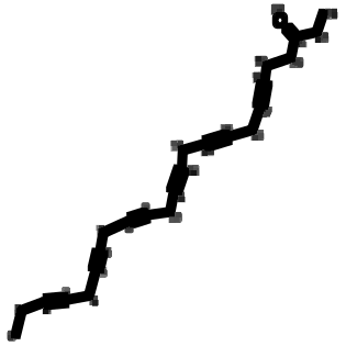 CCC#CCC#CCC#CCC#CCC#CCC#CCCC(=O)CC